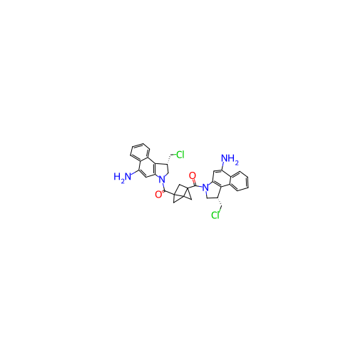 Nc1cc2c(c3ccccc13)[C@H](CCl)CN2C(=O)C12CC3(C(=O)N4C[C@@H](CCl)c5c4cc(N)c4ccccc54)CC13C2